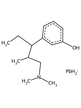 CCC(c1cccc(O)c1)C(C)CN(C)C.[PbH2]